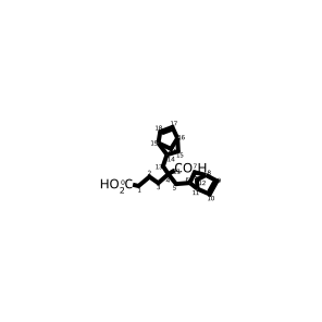 O=C(O)CCCC(CC1CC2C=CC1C2)(CC1CC2C=CC1C2)C(=O)O